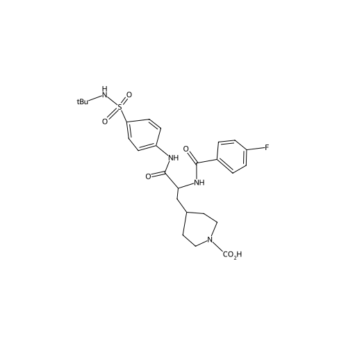 CC(C)(C)NS(=O)(=O)c1ccc(NC(=O)C(CC2CCN(C(=O)O)CC2)NC(=O)c2ccc(F)cc2)cc1